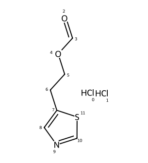 Cl.Cl.O=COCCc1cncs1